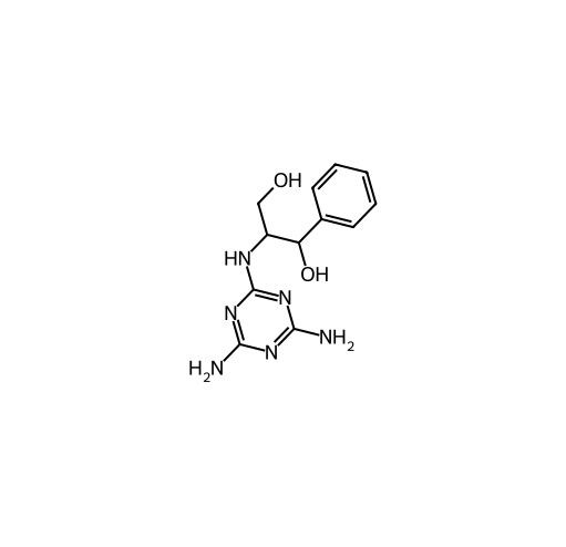 Nc1nc(N)nc(NC(CO)C(O)c2ccccc2)n1